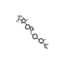 C=NNc1ccc(-c2ccc(Cn3ccc4cc(-n5nc(C(N)=O)cc5C)ccc43)cc2)cc1C